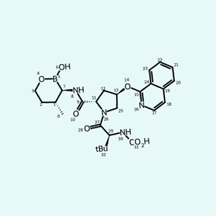 C[C@@H]1CCOB(O)[C@H]1NC(=O)[C@@H]1C[C@@H](Oc2nccc3ccccc23)CN1C(=O)[C@@H](NC(=O)O)C(C)(C)C